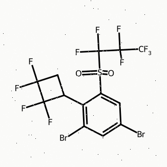 O=S(=O)(c1cc(Br)[c]c(Br)c1C1CC(F)(F)C1(F)F)C(F)(F)C(F)(F)C(F)(F)F